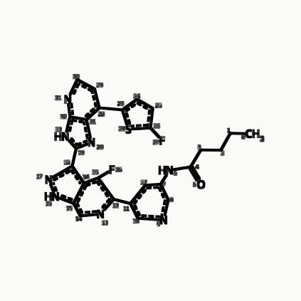 CCCCC(=O)Nc1cncc(-c2ncc3[nH]nc(-c4nc5c(-c6ccc(F)s6)ccnc5[nH]4)c3c2F)c1